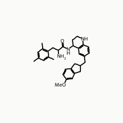 COc1ccc2c(c1)CC(Cc1ccc3c(c1)C(NC(=O)C(N)Cc1c(C)cc(C)cc1C)CCN3)C2